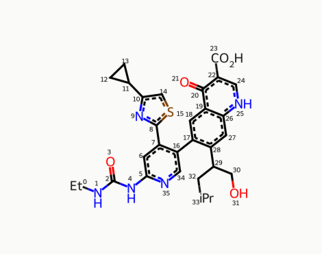 CCNC(=O)Nc1cc(-c2nc(C3CC3)cs2)c(-c2cc3c(=O)c(C(=O)O)c[nH]c3cc2C(CO)CC(C)C)cn1